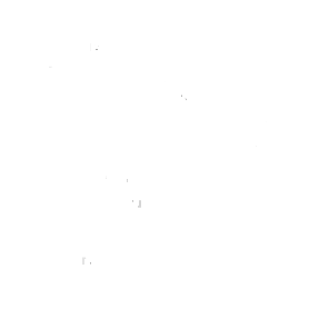 Cc1cccc(C(CC(=O)NC2CCNCC2)c2cn(CC3CCOCC3)c3ccc(Br)cc23)c1.Cl